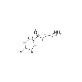 [CH2]C1CCN(C(=O)CCCN)CC1